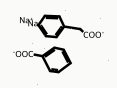 O=C([O-])Cc1ccccc1.O=C([O-])c1ccccc1.[Na+].[Na+]